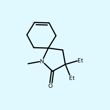 CCC1(CC)CC2(CC=[C]CC2)N(C)C1=O